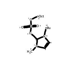 CCCCCCCCOS(=O)(=O)OC1N(C)C=CN1CCCC